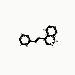 C(=Cc1cnnc2ccccc12)c1ccccc1